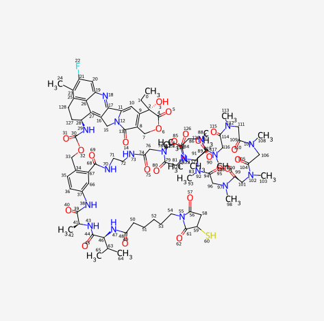 CC[C@@]1(O)C(=O)OCc2c1cc1n(c2=O)Cc2c-1nc1cc(F)c(C)c3c1c2[C@@H](NC(=O)OCc1ccc(NC(=O)[C@H](C)NC(=O)[C@@H](NC(=O)CCCCCN2C(=O)CC(S)C2=O)C(C)C)cc1C(=O)NCCNC(=O)CN(C)C(=O)CN(C)C(=O)CN(C)C(=O)CN(C)C(=O)CN(C)C(=O)CN(C)C(=O)CN(C)C(=O)CN(C)C(=O)CN(C)C(=O)CN(C)C(C)=O)CC3